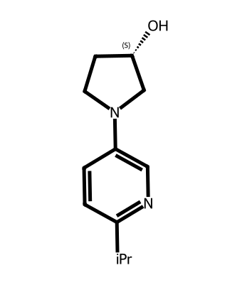 CC(C)c1ccc(N2CC[C@H](O)C2)cn1